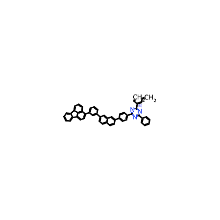 C=C/C=C(\C=C)c1nc(-c2ccccc2)nc(-c2ccc(-c3ccc4ccc(-c5cccc(-c6ccc7c8c(cccc68)-c6ccccc6-7)c5)cc4c3)cc2)n1